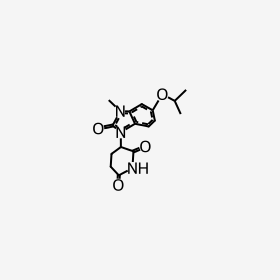 CC(C)Oc1ccc2c(c1)n(C)c(=O)n2C1CCC(=O)NC1=O